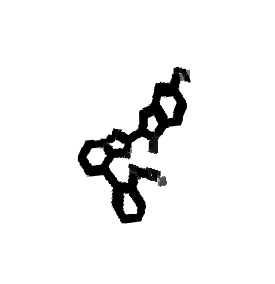 N#Cc1ccc2[nH]c(-c3nc4n(n3)CCCC4c3ccccc3OC(F)(F)F)cc2c1